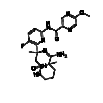 COc1cnc(C(=O)Nc2ccc(F)c(C3(C)C[SH]4(=O)NCCCC4(C)C(N)=N3)n2)cn1